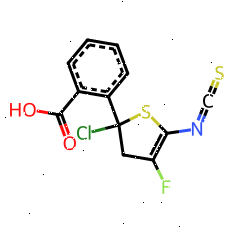 O=C(O)c1ccccc1C1(Cl)CC(F)=C(N=C=S)S1